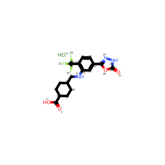 Cl.O=C(O)C1CCC(CNc2cc(-c3n[nH]c(=O)o3)ccc2C(F)(F)F)CC1